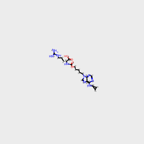 N=C(N)NCCC[C@@H](NC(=O)OCCCCCn1cnc2c(NC3CC3)ncnc21)C(=O)O